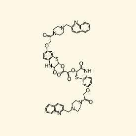 O=C(OC1Sc2cc(OCC(=O)N3CCN(Cc4ccc5ccccc5n4)CC3)ccc2NC1=O)C(=O)OC1Sc2cc(OCC(=O)N3CCN(Cc4ccc5ccccc5n4)CC3)ccc2NC1=O